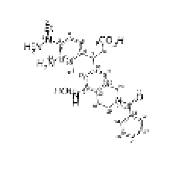 CCN(N)c1ccc(C(CC(=O)O)c2cc3c(c(NO)c2)CCN(C(=O)c2ccccc2)C3)c(C)c1N